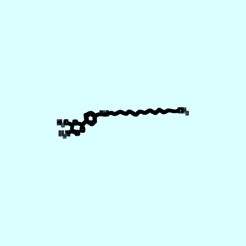 CCCCCCCCCCCCCCCCNc1ccc(C(=O)OC(C)C(N)=O)cc1